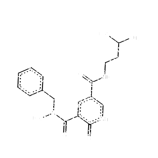 CC(C)CCNC(=O)c1c[nH]c(=O)c(C(=O)N(C)Cc2ccccc2)c1